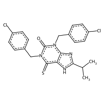 CC(C)c1nc2c([nH]1)c(=S)n(Cc1ccc(Cl)cc1)c(=O)n2Cc1ccc(Cl)cc1